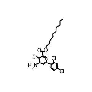 CCCCCCCCCCOC(=O)c1nc(-c2ccc(Cl)cc2Cl)cc(N)c1Cl